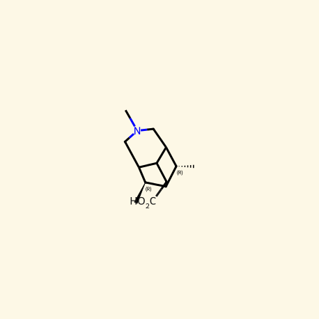 C[C@@H]1C[C@@H](C)C2CN(C)CC1C2CC(=O)O